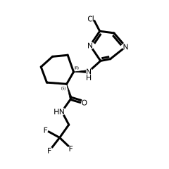 O=C(NCC(F)(F)F)[C@H]1CCCC[C@H]1Nc1cncc(Cl)n1